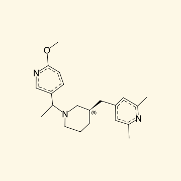 COc1ccc(C(C)N2CCC[C@H](Cc3cc(C)nc(C)c3)C2)cn1